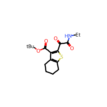 CCNC(=O)C(=O)c1sc2c(c1C(=O)OC(C)(C)C)CCCC2